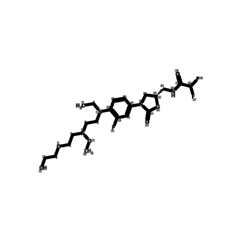 CCN(CCN(CCOCCO)OC)c1ccc(N2C[C@H](CNC(=O)C(F)F)OC2=O)cc1F